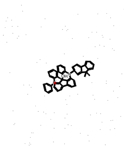 CC1(C)c2ccccc2-c2ccc(N(c3ccccc3)c3cccc4c3C(O)(c3ccccc3Oc3ccccc3)c3ccccc3-4)cc21